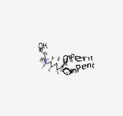 CCCCCOC(CCCC/C=C\CCO)OCCCCC